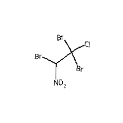 O=[N+]([O-])C(Br)C(Cl)(Br)Br